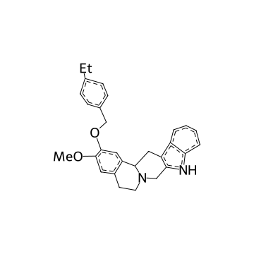 CCc1ccc(COc2cc3c(cc2OC)CCN2Cc4[nH]c5ccccc5c4CC32)cc1